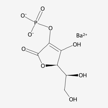 O=C1O[C@H]([C@@H](O)CO)C(O)=C1OP(=O)([O-])[O-].[Ba+2]